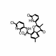 Cc1cc([C@@H](C)Nc2ccc(Cl)nc2C(=O)O)c2oc(-c3cccc(=O)[nH]3)c(C)c(=O)c2c1